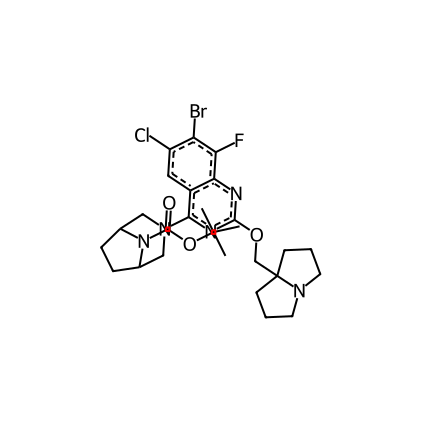 CC(C)(C)OC(=O)N1C2CCC1CN(c1nc(OCC34CCCN3CCC4)nc3c(F)c(Br)c(Cl)cc13)C2